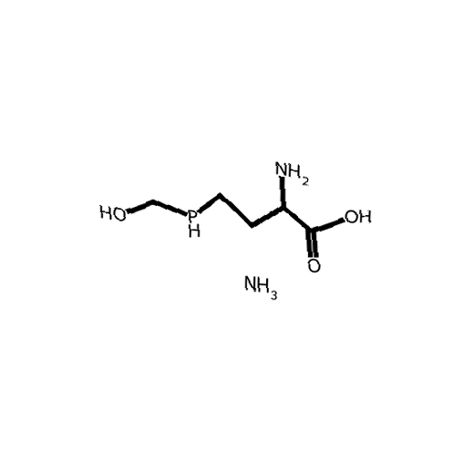 N.NC(CCPCO)C(=O)O